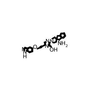 N[C@@H]1c2ccccc2CC12CCN(c1ncc(C#CCOc3ccc4[nH]ncc4c3)nc1CO)CC2